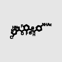 CC(=O)Nc1ccc(NS(=O)(=O)c2ccc(F)c(C(=O)c3c[nH]c4ncc(Cl)cc34)c2F)cc1